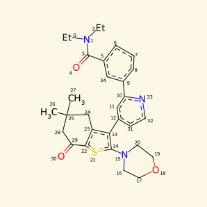 CCN(CC)C(=O)c1cccc(-c2cc(-c3c(N4CCOCC4)sc4c3CC(C)(C)CC4=O)ccn2)c1